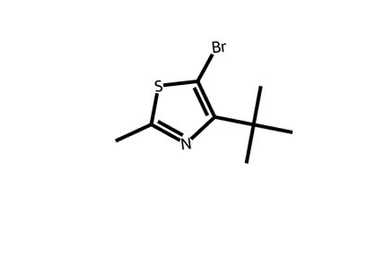 Cc1nc(C(C)(C)C)c(Br)s1